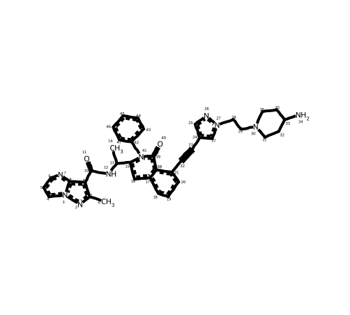 Cc1nn2cccnc2c1C(=O)NC(C)c1cc2cccc(C#Cc3cnn(CCN4CCC(N)CC4)c3)c2c(=O)n1-c1ccccc1